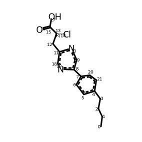 CCCCc1ccc(-c2cnc(C[C@@H](Cl)C(=O)O)cn2)cc1